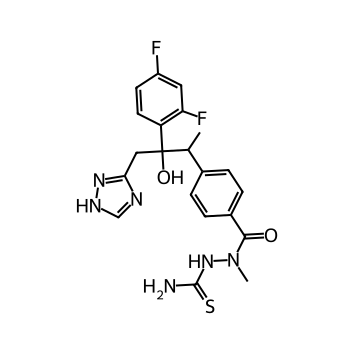 CC(c1ccc(C(=O)N(C)NC(N)=S)cc1)C(O)(Cc1nc[nH]n1)c1ccc(F)cc1F